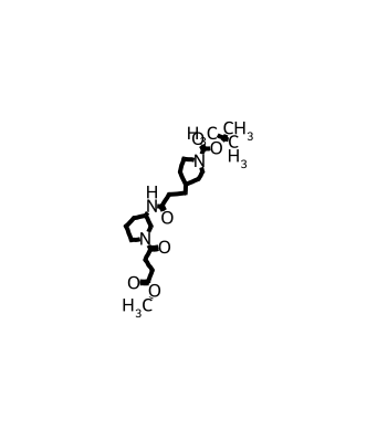 COC(=O)CCC(=O)N1CCCC(NC(=O)CCC2CCN(C(=O)OC(C)(C)C)CC2)C1